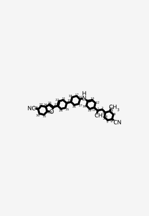 CC(CC1CCC(C#N)CC1C)C1CC=C(NC2CCC(C3CC=C(C4=CC5CC(C#N)CCC5O4)CC3)CC2)CC1